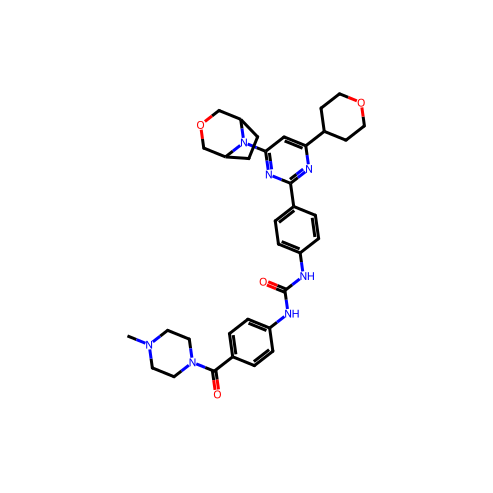 CN1CCN(C(=O)c2ccc(NC(=O)Nc3ccc(-c4nc(C5CCOCC5)cc(N5C6CCC5COC6)n4)cc3)cc2)CC1